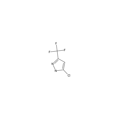 FC(F)(F)C1=N[N]C(Cl)=C1